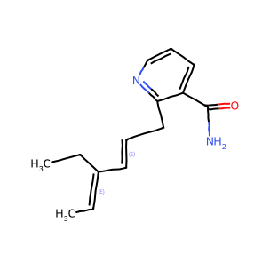 C/C=C(/C=C/Cc1ncccc1C(N)=O)CC